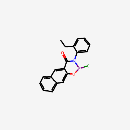 CCc1ccccc1N1C(=O)c2cc3ccccc3cc2OP1Cl